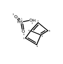 O=[SH](=O)O.c1cc2ccc1-2